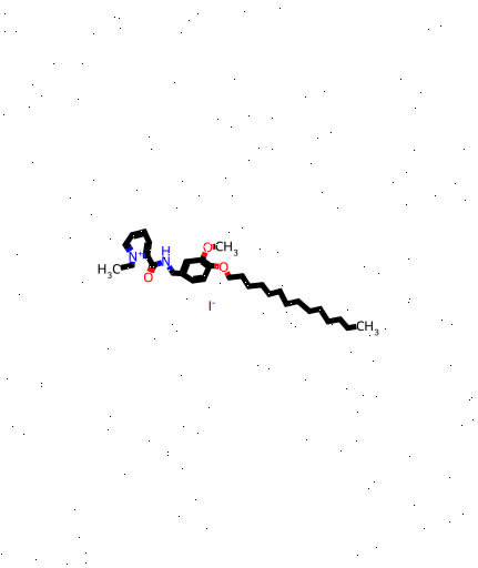 CCCCCCCCCCCCCCOc1ccc(CNC(=O)c2cccc[n+]2CC)cc1OC.[I-]